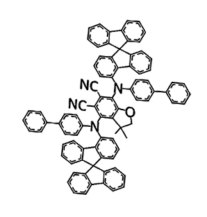 CC1(C)COc2c(N(c3ccc(-c4ccccc4)cc3)c3cccc4c3-c3ccccc3C43c4ccccc4-c4ccccc43)c(C#N)c(C#N)c(N(c3ccc(-c4ccccc4)cc3)c3cccc4c3-c3ccccc3C43c4ccccc4-c4ccccc43)c21